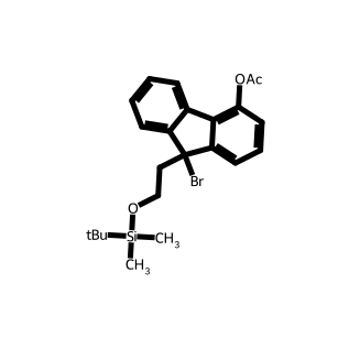 CC(=O)Oc1cccc2c1-c1ccccc1C2(Br)CCO[Si](C)(C)C(C)(C)C